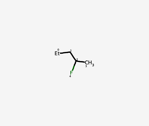 CCCC(C)F